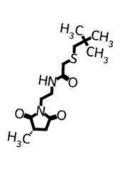 C[C@H]1CC(=O)N(CCNC(=O)CSCC(C)(C)C)C1=O